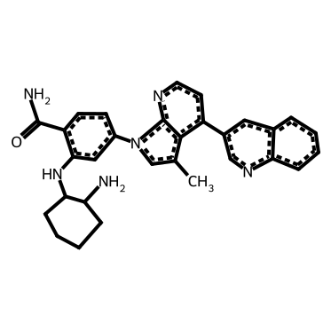 Cc1cn(-c2ccc(C(N)=O)c(NC3CCCCC3N)c2)c2nccc(-c3cnc4ccccc4c3)c12